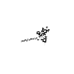 CCCCCCCCCCCCOC(=O)[C@H](Cc1cc(F)cc(F)c1)N[P@](=O)(Oc1ccccc1)Oc1c(F)c(F)c(F)c(F)c1F